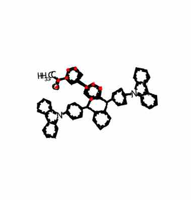 CC(=O)c1cccc(-c2ccc3c(c2)C2(c4ccc(-n5c6ccccc6c6ccccc65)cc4)c4ccccc4C3(c3ccc(-n4c5ccccc5c5ccccc54)cc3)c3ccc(-c4cccc(C(C)=O)c4)cc32)c1